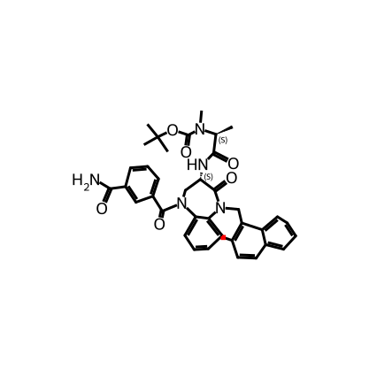 Cc1ccc2ccccc2c1CN1C(=O)[C@@H](NC(=O)[C@H](C)N(C)C(=O)OC(C)(C)C)CN(C(=O)c2cccc(C(N)=O)c2)c2ccccc21